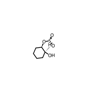 C[C@]1(O)CCCC[C@H]1O[SH](=O)=O